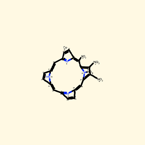 O=[N+]([O-])c1c([N+](=O)[O-])c2c([N+](=O)[O-])c3nc(cc4ccc(cc5nc(cc1n2[N+](=O)[O-])C=C5)[nH]4)C=C3.[Co]